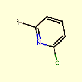 [2H]c1cccc(Cl)n1